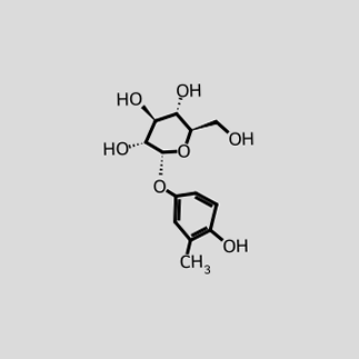 Cc1cc(O[C@H]2O[C@H](CO)[C@@H](O)[C@H](O)[C@H]2O)ccc1O